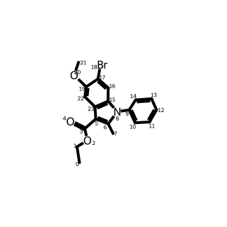 CCOC(=O)c1c(C)n(-c2ccccc2)c2cc(Br)c(OC)cc12